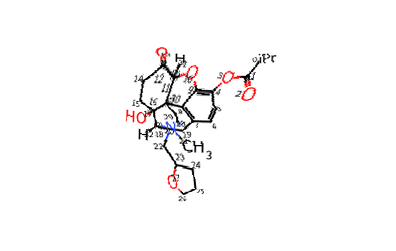 CC(C)C(=O)Oc1ccc2c3c1O[C@H]1C(=O)CC[C@@]4(O)[C@@H](C2)[N+](C)(CC2CCCO2)CC[C@]314